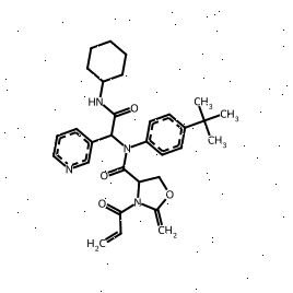 C=CC(=O)N1C(=C)OCC1C(=O)N(c1ccc(C(C)(C)C)cc1)C(C(=O)NC1CCCCC1)c1cccnc1